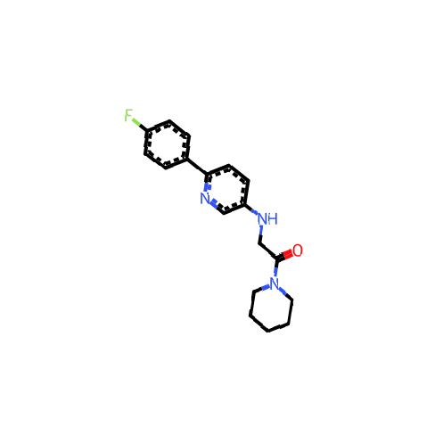 O=C(CNc1ccc(-c2ccc(F)cc2)nc1)N1CCCCC1